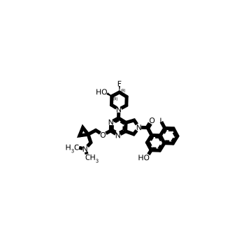 CN(C)CC1(COc2nc3c(c(N4CC[C@@H](F)[C@H](O)C4)n2)CN(C(=O)c2cc(O)cc4cccc(I)c24)C3)CC1